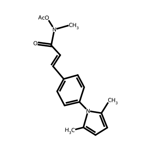 CC(=O)ON(C)C(=O)C=Cc1ccc(-n2c(C)ccc2C)cc1